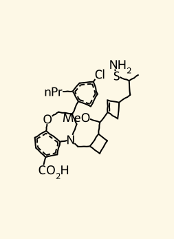 CCCc1cc(Cl)ccc1C1COc2ccc(C(=O)O)cc2N(CC2CCC2C(OC)C2=CC(CC(C)SN)C2)C1